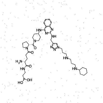 N[C@H](CCC(=O)N1CCC[C@@H]1C(=O)N1CCC(Nc2nc(NCc3cn(CCCNCCCNC4CCCCC4)nn3)nc3ccccc23)CC1)C(=O)NCCP(O)O